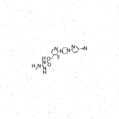 N#Cc1ccc(N2CCN(c3nccc(COC(=O)NC(=N)N)c3F)CC2)nc1